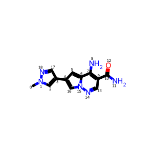 Cn1cc(-c2cc3c(N)c(C(N)=O)cnn3c2)cn1